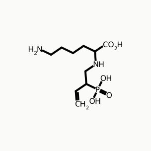 C=CC(CNC(CCCCN)C(=O)O)P(=O)(O)O